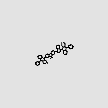 CC1(C)c2cc(-c3ccc(-c4c5ccccc5c(-c5ccccc5)c5ccncc45)c4ccccc34)ccc2-c2ccc(-c3c4ccccc4c(-c4ccccc4)c4ccncc34)cc21